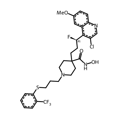 COc1ccc2ncc(Cl)c([C@H](F)CCC3(C(=O)NO)CCN(CCCSc4ccccc4C(F)(F)F)CC3)c2c1